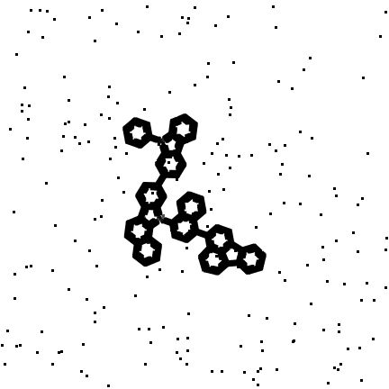 c1ccc(-n2c3ccccc3c3ccc(-c4ccc5c6ccc7ccccc7c6n(-c6ccc(-c7ccc8c9c(cccc79)-c7ccccc7-8)c7ccccc67)c5c4)cc32)cc1